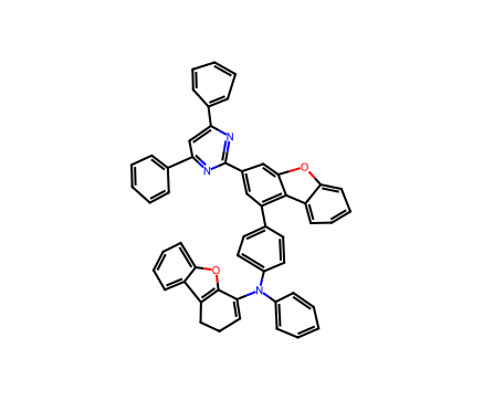 C1=C(N(c2ccccc2)c2ccc(-c3cc(-c4nc(-c5ccccc5)cc(-c5ccccc5)n4)cc4oc5ccccc5c34)cc2)c2oc3ccccc3c2CC1